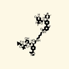 Cc1ncsc1-c1ccc([C@H](CC(=O)NCCCCCNC(=O)c2ccc(F)c(-c3ccc(N4C[C@@H](C)N(C)[C@@H](C)C4)c(NC(=O)c4c[nH]c(=O)cc4C(F)(F)F)c3)c2)NC(=O)[C@@H]2C[C@@H](O)CN2C(=O)[C@@H](NC(=O)C2(F)CC2)C(C)(C)C)cc1